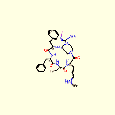 CC(C)C[C@@H](NC(=O)[C@@H](Cc1ccccc1)NC(=O)[C@H](N)Cc1ccccc1)C(=O)N[C@H](CCCNC(C)C)C(=O)N1CCCN(C(N)=NI)CC1